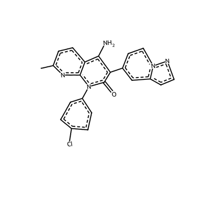 Cc1ccc2c(N)c(-c3ccn4nccc4c3)c(=O)n(-c3ccc(Cl)cc3)c2n1